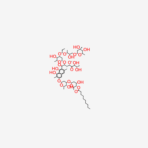 CCCCCCCCCC(=O)O[C@@H]1C(C)O[C@@H](O[C@@H]2C[C@H](Oc3cc4cc5c(c(O)c4c(O)c3C)C(=O)[C@@H](O[C@H]3C[C@@H](O[C@@H](CC)OC(C)[C@H](O)CO[C@H]4C[C@](C)(O)[C@H](O)C(C)O4)[C@H](O)C(C)O3)[C@H]([C@H](OC)C(=O)[C@@H](O)[C@@H](C)O)C5)OC(C)[C@H]2O)C[C@H]1O